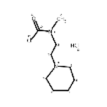 CN(CCN1CCCCC1)C(=O)Cl.Cl